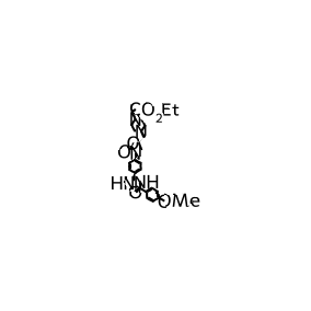 CCOC(=O)CN1CCN(C[C@@H]2CN(c3ccc(C(=N)NC(=O)c4ccc(OC)cc4)cc3)C(=O)O2)CC1